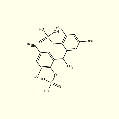 CC(c1cc(C(C)(C)C)cc(C(C)(C)C)c1OP(=O)(O)O)c1cc(C(C)(C)C)cc(C(C)(C)C)c1OP(=O)(O)O.[KH]